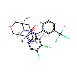 O=C(c1ccc(F)c(Cl)c1Cl)N1[C@H]2COC[C@@H]1c1nnc(-c3cc(C(F)(F)F)ccn3)n1C2